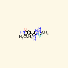 C[C@@H](Nc1ncc2c(-c3ccc4c(c3)C(C)(C)CNC4=O)c[nH]c2n1)C(F)(F)F